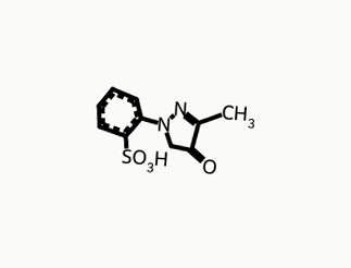 CC1=NN(c2ccccc2S(=O)(=O)O)CC1=O